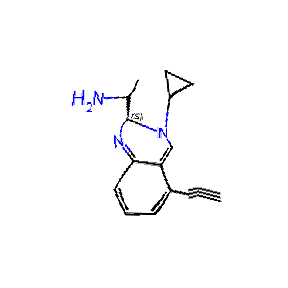 C#Cc1cccc2c1=CN(C1CC1)[C@H](C(C)N)N=2